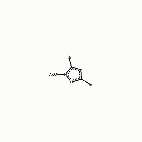 CC(=O)On1nc(Br)cc1Br